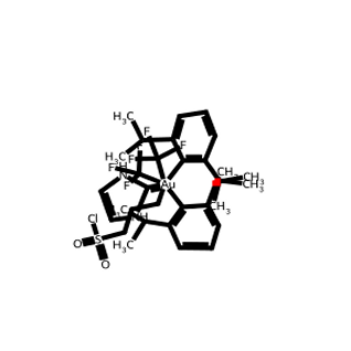 CC(C)c1cccc(C(C)C)[c]1[Au]([CH2]CCS(=O)(=O)Cl)([c]1c(C(C)C)cccc1C(C)C)(=[c]1[nH]cc[nH]1)([C](F)(F)F)[C](F)(F)F